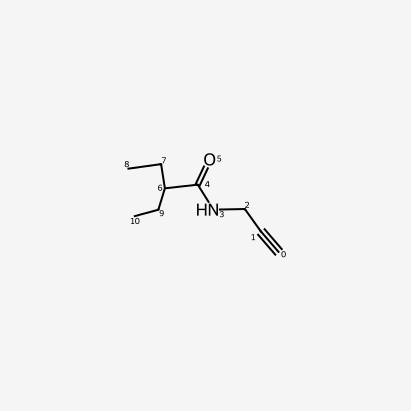 C#CCNC(=O)C(CC)CC